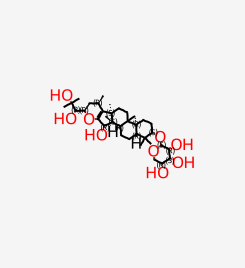 C[C@@H]1C[C@H]([C@@H](O)C(C)(C)O)OC2=C1[C@@]1(C)CCC34C[C@@]35CC[C@H](O[C@@H]3OC[C@@H](O)[C@H](O)[C@H]3O)C(C)(C)[C@@H]5CC[C@H]4[C@]1(C)[C@H]2O